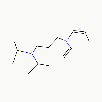 C=CN(/C=C\C)CCCN(C(C)C)C(C)C